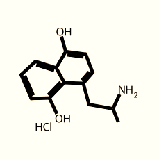 CC(N)Cc1ccc(O)c2cccc(O)c12.Cl